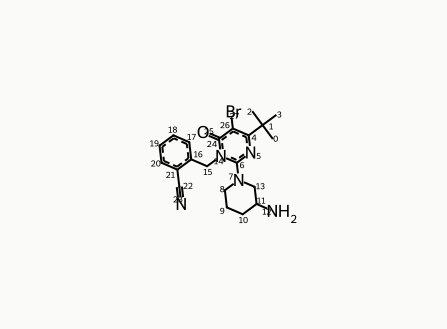 CC(C)(C)c1nc(N2CCCC(N)C2)n(Cc2ccccc2C#N)c(=O)c1Br